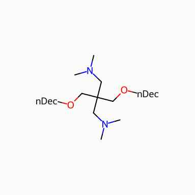 CCCCCCCCCCOCC(COCCCCCCCCCC)(CN(C)C)CN(C)C